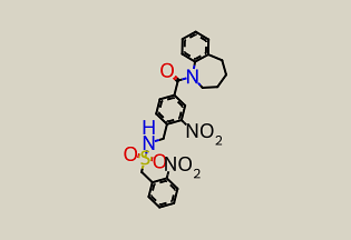 O=C(c1ccc(CNS(=O)(=O)Cc2ccccc2[N+](=O)[O-])c([N+](=O)[O-])c1)N1CCCCc2ccccc21